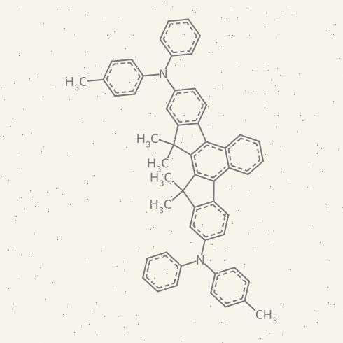 Cc1ccc(N(c2ccccc2)c2ccc3c(c2)C(C)(C)c2c4c(c5ccccc5c2-3)-c2ccc(N(c3ccccc3)c3ccc(C)cc3)cc2C4(C)C)cc1